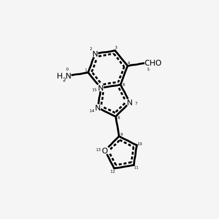 Nc1ncc(C=O)c2nc(-c3ccco3)nn12